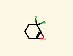 BrC1(Br)CCCC2=C1O2